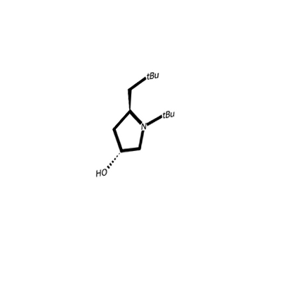 CC(C)(C)C[C@@H]1C[C@@H](O)CN1C(C)(C)C